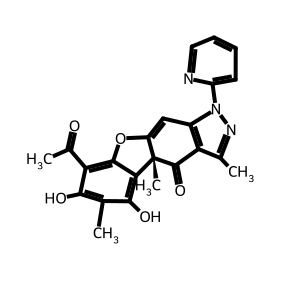 CC(=O)c1c(O)c(C)c(O)c2c1OC1=Cc3c(c(C)nn3-c3ccccn3)C(=O)[C@@]12C